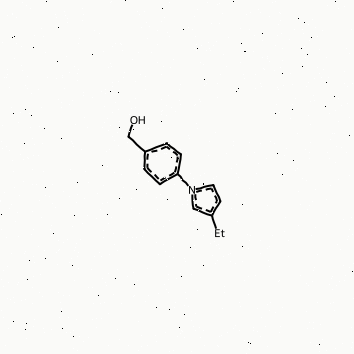 CCc1ccn(-c2ccc(CO)cc2)c1